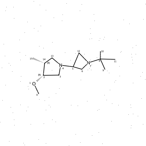 CO[C@H]1CN(C2CN(C(C)(C)C)C2)C[C@H]1C